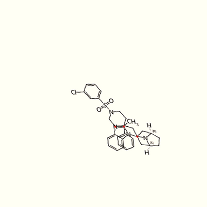 Cc1nc2ccccc2n1C1C[C@H]2CC[C@@H](C1)N2CCC1(c2ccccc2)CCN(S(=O)(=O)c2cccc(Cl)c2)CC1